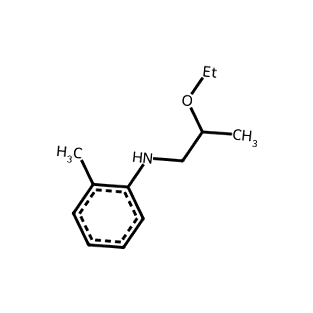 CCOC(C)CNc1ccccc1C